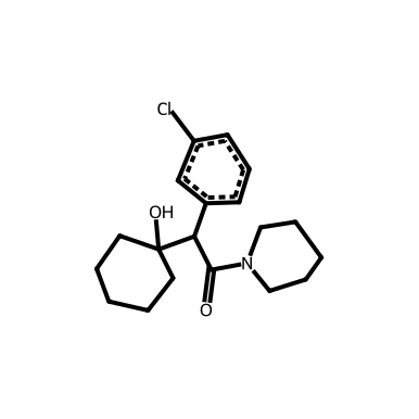 O=C(C(c1cccc(Cl)c1)C1(O)CCCCC1)N1CCCCC1